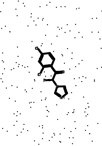 O=C(c1ccc(Cl)cc1Cl)C(F)n1ccnc1